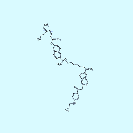 C=C(C/C=C\C(=C/C)CCC(C)CC)Oc1ccc2cc(C(=C)OCCCCCCC(=C)c3ccc4cc(CC(=O)c5ccc(BCC6CC6)cc5)ccc4c3)ccc2c1